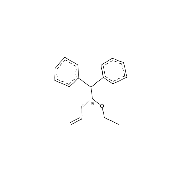 C=CC[C@@H](OCC)C(c1ccccc1)c1ccccc1